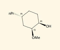 CCC[C@@H]1CC[C@@H](O)[C@@H](OC)C1